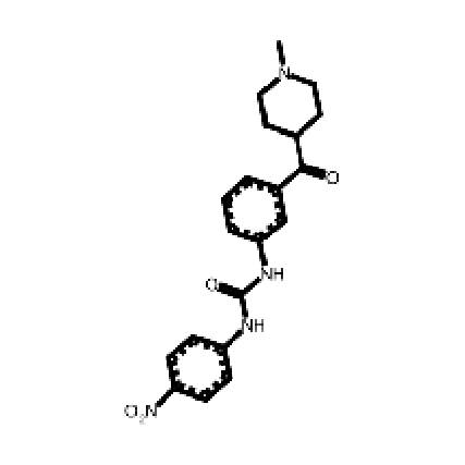 CN1CCC(C(=O)c2cccc(NC(=O)Nc3ccc([N+](=O)[O-])cc3)c2)CC1